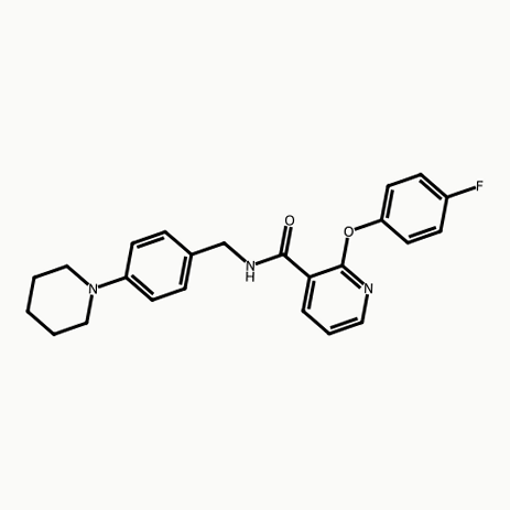 O=C(NCc1ccc(N2CCCCC2)cc1)c1cccnc1Oc1ccc(F)cc1